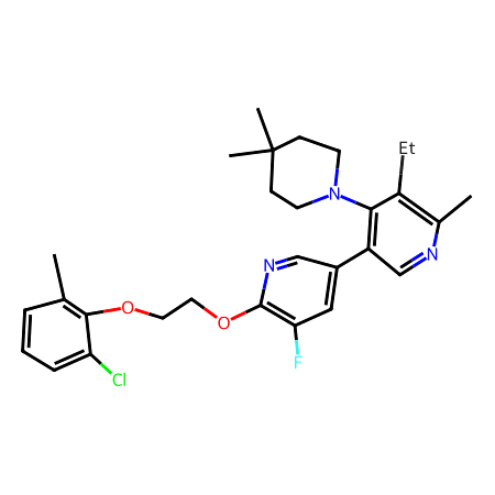 CCc1c(C)ncc(-c2cnc(OCCOc3c(C)cccc3Cl)c(F)c2)c1N1CCC(C)(C)CC1